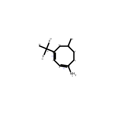 CC1CC/C(N)=C\C=C(\C(C)(F)F)C1